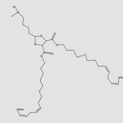 CCCCC/C=C\C/C=C\CCCCCCCCOC(=O)C1OC(CCCCN(C)CC)OC1C(=O)OCCCCCCCC/C=C\C/C=C\CCCCC